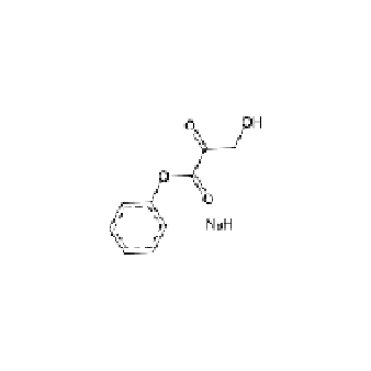 O=C(CO)C(=O)Oc1ccccc1.[NaH]